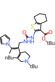 CCCCC1=C(/C(CNC(=O)Nc2sc3c(c2C(=O)OC(C)(C)C)CCCC3)=C(\C)n2cccc2)CCN(C(C)(C)C)C1